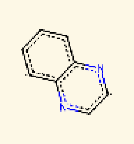 [c]1cnc2[c]cccc2n1